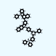 C[Si](c1ccccc1)(c1ccccc1)c1cccc(-c2nc(-c3ccccc3)nc(-c3ccc(-n4c5ccc(-c6cc7c(c8ccccc68)c6ccccc6n7-c6ccccc6)cc5c5cc6ccccc6cc54)cc3)n2)c1